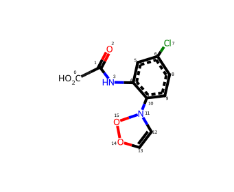 O=C(O)C(=O)Nc1cc(Cl)ccc1N1C=COO1